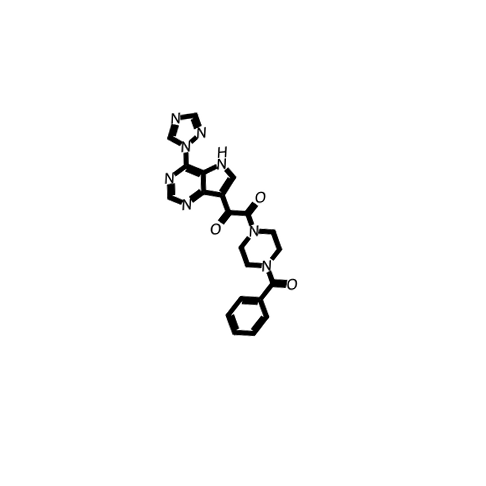 O=C(C(=O)N1CCN(C(=O)c2ccccc2)CC1)c1c[nH]c2c(-n3cncn3)ncnc12